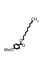 C=CCCCCCCCCOC(=O)c1ccc(OC)cc1